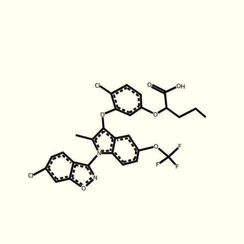 CCCC(Oc1ccc(Cl)c(Oc2c(C)n(-c3noc4cc(Cl)ccc34)c3ccc(OC(F)(F)F)cc23)c1)C(=O)O